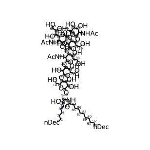 CCCCCCCCCCCCC/C=C/[C@@H](O)[C@H](CO[C@@H]1OC(CO)[C@@H](O[C@@H]2OC(CO)[C@H](O)[C@H](O[C@@H]3OC(CO)[C@@H](O)[C@H](O[C@@H]4OC(CO)[C@H](O[C@@H]5OC(CO)[C@H](O)[C@H](O)C5NC(C)=O)[C@H](O[C@]5(C(=O)O)CC(O)[C@@H](NC(C)=O)C([C@H](O)[C@H](O)CO)O5)C4O)C3NC(C)=O)C2O)[C@H](O)C1O)NC(=O)CCCCCCCCCCCCCCCCCCC